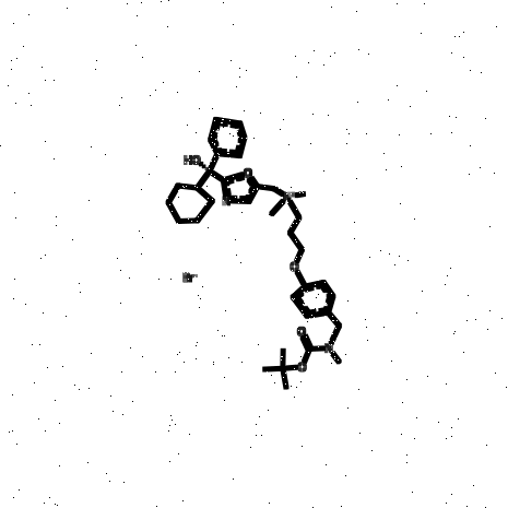 CN(Cc1ccc(OCCC[N+](C)(C)Cc2cnc([C@](O)(c3ccccc3)C3CCCCC3)o2)cc1)C(=O)OC(C)(C)C.[Br-]